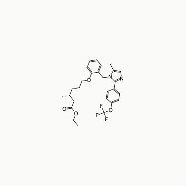 CCOC(=O)C[C@H](C)CCCOc1ccccc1Cn1c(C)cnc1-c1ccc(OC(F)(F)F)cc1